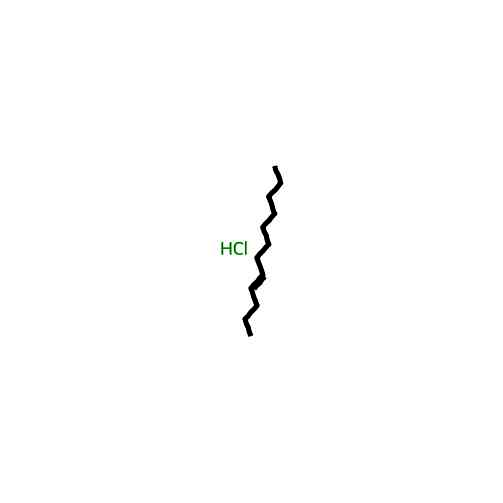 CCCC=CCCCCCCC.Cl